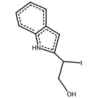 OCC(I)c1cc2ccccc2[nH]1